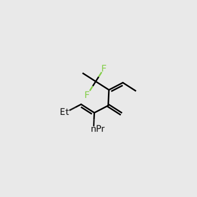 C=C(/C(=C/CC)CCC)/C(=C\C)C(C)(F)F